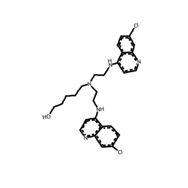 OCCCCCN(CCNc1ccnc2cc(Cl)ccc12)CCNc1ccnc2cc(Cl)ccc12